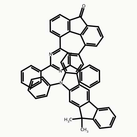 CC1(C)c2ccccc2-c2cc3c4cc(-c5cccc6c5-c5c(cccc5-c5nc(-c7ccccc7)nc(-c7ccccc7)n5)C6=O)ccc4n(-c4ccccc4)c3cc21